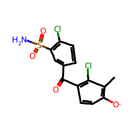 Cc1c([O])ccc(C(=O)c2ccc(Cl)c(S(N)(=O)=O)c2)c1Cl